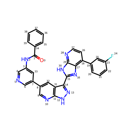 O=C(Nc1cncc(-c2cnc3[nH]nc(-c4nc5c(-c6cccc(F)c6)ccnc5[nH]4)c3c2)c1)c1ccccc1